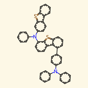 c1ccc(N(c2ccccc2)c2ccc(-c3cccc4sc5c(N(c6ccccc6)c6ccc7c(c6)sc6ccccc67)cccc5c34)cc2)cc1